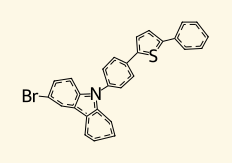 Brc1ccc2c(c1)c1ccccc1n2-c1ccc(-c2ccc(-c3ccccc3)s2)cc1